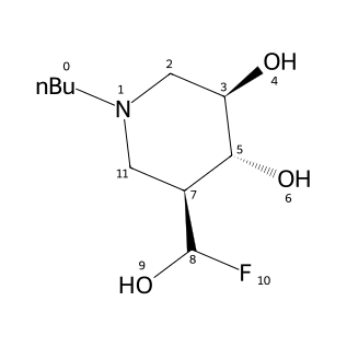 CCCCN1C[C@@H](O)[C@H](O)[C@@H](C(O)F)C1